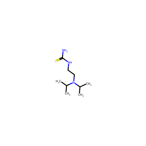 CC(C)N(CCNC(N)=S)C(C)C